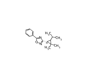 CC(C)C1[C@@H](c2noc(-c3ccccc3)n2)C1(C)C